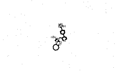 CCCCc1cn(C2CCCCCCC2=O)c(=O)n1Cc1cnccc1-c1ccc(-c2nnn[nH]2)cc1